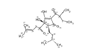 CCC(C)C(=O)C1=C(O)[C@@](O)(C(=O)CC=C(C)C)[C@H](CC=C(C)C)C1=O